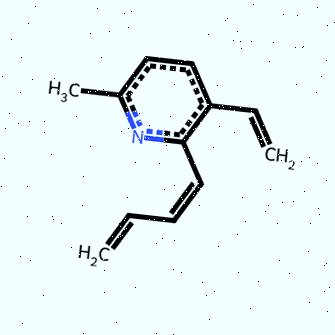 C=C/C=C\c1nc(C)ccc1C=C